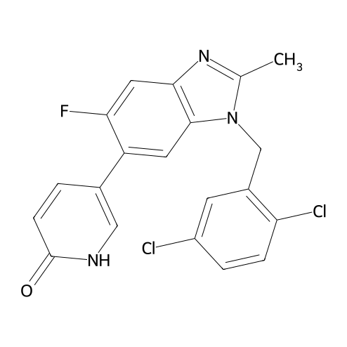 Cc1nc2cc(F)c(-c3ccc(=O)[nH]c3)cc2n1Cc1cc(Cl)ccc1Cl